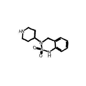 O=S1(=O)Nc2ccccc2CN1C1CCNCC1